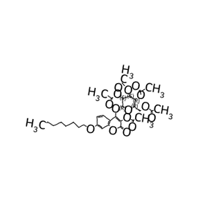 CCCCCCCCOc1ccc2c(O[C@H]3O[C@H](COC(C)=O)[C@@H](OC(C)=O)[C@H](OC(C)=O)[C@@H]3OC(C)=O)c(OC(C)=O)c(=O)oc2c1